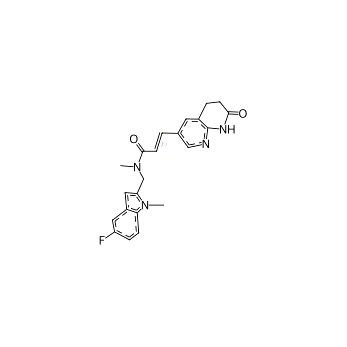 CN(Cc1cc2cc(F)ccc2n1C)C(=O)/C=C/c1cnc2c(c1)CCC(=O)N2